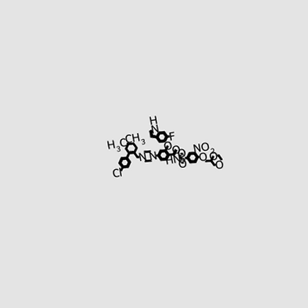 CC1(C)CCC(CN2CCN(c3ccc(C(=O)NS(=O)(=O)c4ccc(OCC5COCCO5)c([N+](=O)[O-])c4)c(Oc4cc5cc[nH]c5cc4F)c3)CC2)=C(c2ccc(Cl)cc2)C1